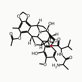 COc1c(C)cc2c(c1O)[C@@H]1C3[C@@H]4SC[C@H](NC(=O)C(NC(=O)C(C)N)C(C)C)C(=O)OC[C@@H](c5c6c(c(C)c(OC(C)=O)c54)OCO6)N3[C@@H](O)[C@H](C2)N1C